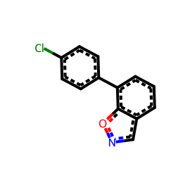 Clc1ccc(-c2cccc3cnoc23)cc1